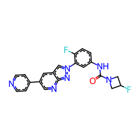 O=C(Nc1ccc(F)c(-n2cc3cc(-c4ccncc4)cnc3n2)c1)N1CC(F)C1